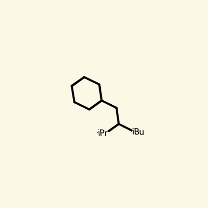 CCC(C)C(CC1CCCCC1)[C](C)C